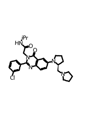 CC(C)NC(=O)Cn1c(-c2cccc(Cl)c2)nc2ccc(N3CCC[C@H]3CN3CCCC3)cc2c1=O